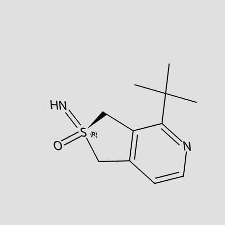 CC(C)(C)c1nccc2c1C[S@](=N)(=O)C2